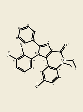 CCOC(=O)c1nc(-c2ccccc2)n(-c2cccc(Cl)c2F)c1-c1cc(Cl)ccc1OC